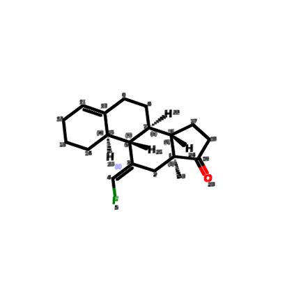 C[C@]12C/C(=C\F)[C@H]3[C@@H](CCC4=CCCC[C@@H]43)[C@@H]1CCC2=O